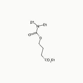 CCOC(=O)CCCOC(=O)N(CC)CC